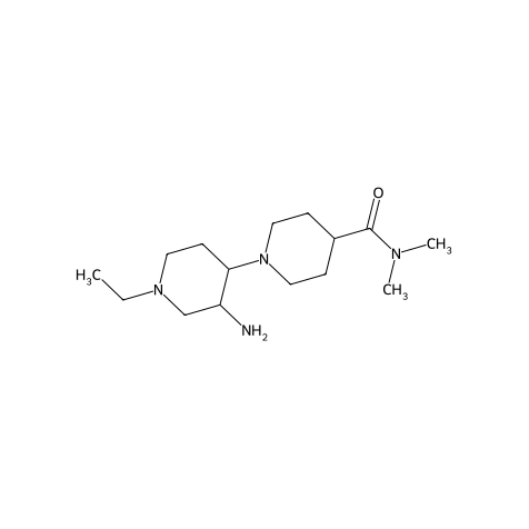 CCN1CCC(N2CCC(C(=O)N(C)C)CC2)C(N)C1